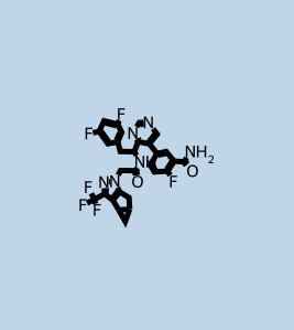 NC(=O)c1cc(-c2cncnc2C(Cc2cc(F)cc(F)c2)NC(=O)Cn2nc(C(F)(F)F)c3c2CC2CC32)ccc1F